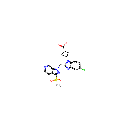 CS(=O)(=O)c1nn(Cc2nc3cc(Cl)ccc3n2[C@H]2C[C@H](C(=O)O)C2)c2cnccc12